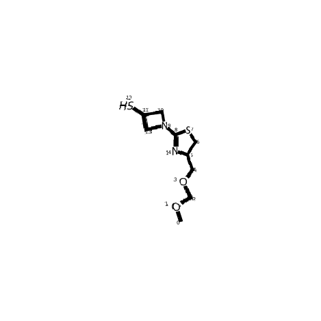 COCOCC1CSC(N2CC(S)C2)=N1